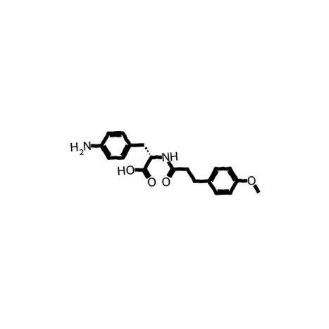 COc1ccc(CCC(=O)N[C@@H](Cc2ccc(N)cc2)C(=O)O)cc1